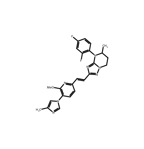 COc1nc(C=Cc2nc3n(n2)CCC(C)N3c2ccc(F)cc2F)ccc1-n1cnc(C)c1